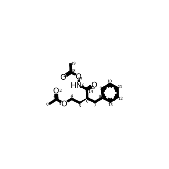 CC(=O)OCC[C@H](Cc1ccccc1)C(=O)NOC(C)=O